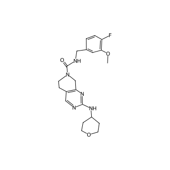 COc1cc(CNC(=O)N2CCc3cnc(NC4CCOCC4)nc3C2)ccc1F